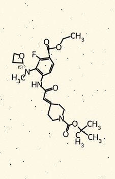 CCOC(=O)c1ccc(NC(=O)C=C2CCN(C(=O)OC(C)(C)C)CC2)c(N(C)[C@@H]2CCO2)c1F